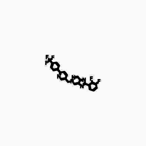 Fc1cccc(-c2nc3cnn(Cc4ccc(-c5ccc(C(F)(F)F)cc5)nc4)cc-3n2)c1F